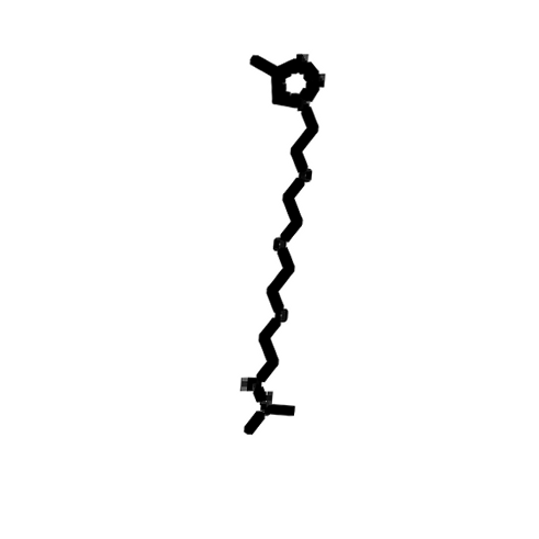 Cc1cn(CCOCCOCCOCCN[SH](C)C)nn1